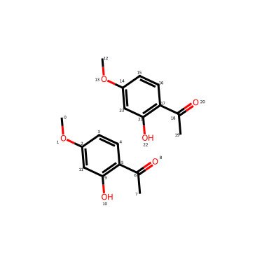 COc1ccc(C(C)=O)c(O)c1.COc1ccc(C(C)=O)c(O)c1